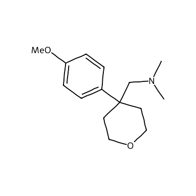 COc1ccc(C2(CN(C)C)CCOCC2)cc1